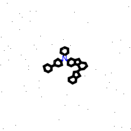 C1CCC(C2CCC(N(C3CCCCC3)C3CCC4C(CC5CCCC(C6CC7CCCCC7C6)C54)C3)CC2)CC1